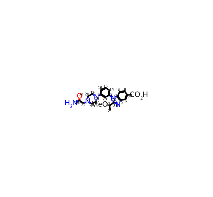 COC(C)c1nc2cc(C(=O)O)ccc2n1-c1cccc(N2CCN(CC(N)=O)CC2)c1